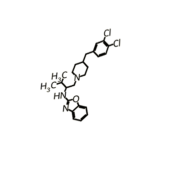 CC(C)C(CN1CCC(Cc2ccc(Cl)c(Cl)c2)CC1)Nc1nc2ccccc2o1